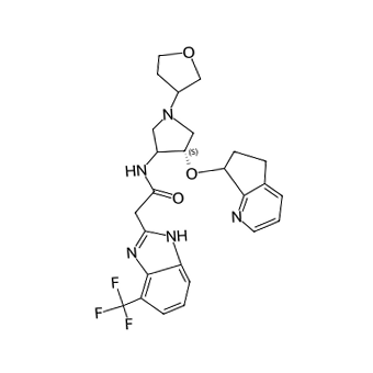 O=C(Cc1nc2c(C(F)(F)F)cccc2[nH]1)NC1CN(C2CCOC2)C[C@@H]1OC1CCc2cccnc21